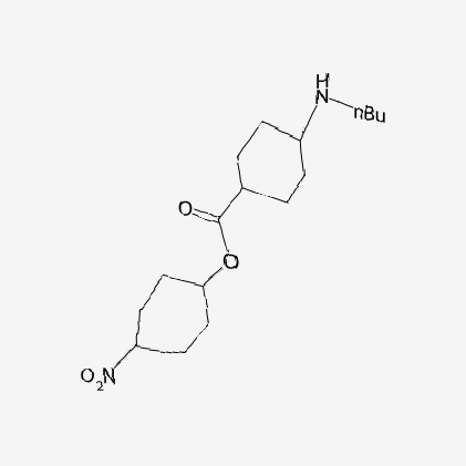 CCCCNC1CCC(C(=O)OC2CCC([N+](=O)[O-])CC2)CC1